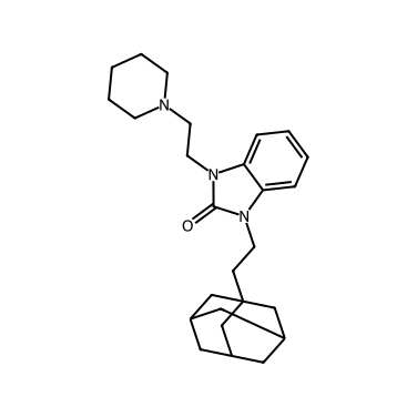 O=c1n(CCN2CCCCC2)c2ccccc2n1CCC12CC3CC(CC(C3)C1)C2